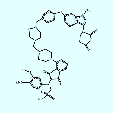 CCOc1cc([C@@H](CS(C)(=O)=O)N2C(=O)c3cccc(N4CCN(CC5CCN(Cc6ccc(Oc7ccc8c(C9CCC(=O)NC9=O)nn(C)c8c7)cc6)CC5)CC4)c3C2=O)ccc1OC